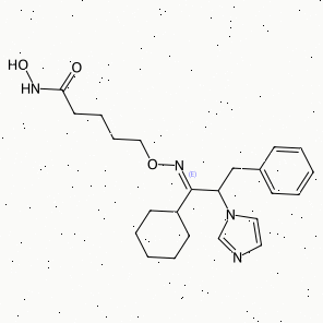 O=C(CCCCO/N=C(\C1CCCCC1)C(Cc1ccccc1)n1ccnc1)NO